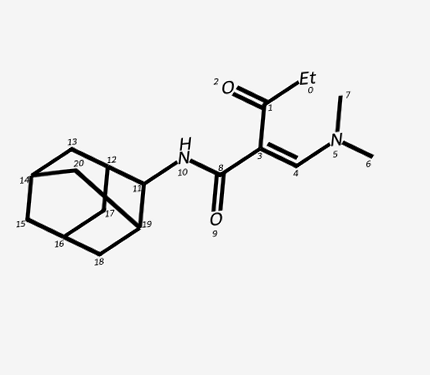 CCC(=O)C(=CN(C)C)C(=O)NC1C2CC3CC(C2)CC1C3